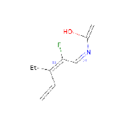 C=C/C(CC)=C(F)\C=N/C(=C)O